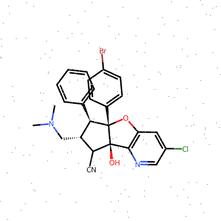 CN(C)C[C@H]1C(C#N)[C@@]2(O)c3ncc(Cl)cc3O[C@@]2(c2ccc(Br)cc2)[C@@H]1c1ccccc1